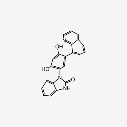 O=c1[nH]c2ccccc2n1-c1cc(-c2cccc3cccnc23)c(O)cc1O